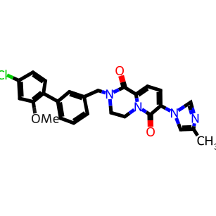 COc1cc(Cl)ccc1-c1cccc(CN2CCn3c(ccc(-n4cnc(C)c4)c3=O)C2=O)c1